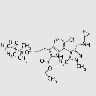 CCOC(=O)c1[nH]c2c(-c3c(CNC4CC4)nn(C)c3C)c(Cl)ccc2c1CCCO[Si](C)(C)C(C)(C)C